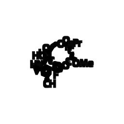 C#Cc1cccc(C2(NC[C@@H](O)[C@@H]3Cc4cc(F)cc(c4)OCC(COC)CCN(CCC)C(=O)CCCC(=O)N3)CC2)c1